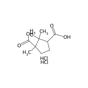 CC1(C(=O)O)CCC(C(=O)O)C1(C)C.Cl.Cl